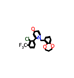 O=c1ccn(Cc2cccc3c2OCCCO3)c(-c2cccc(C(F)(F)F)c2Cl)c1